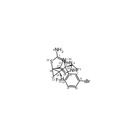 NC1=N[C@](CF)(c2cc(Br)ccc2F)[C@@H]2C[C@]2(c2c[nH]nn2)S1